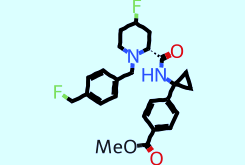 COC(=O)c1ccc(C2(NC(=O)[C@H]3CC(F)CCN3Cc3ccc(CF)cc3)CC2)cc1